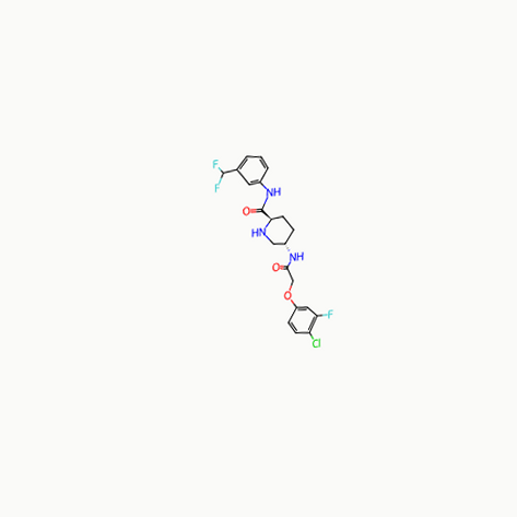 O=C(COc1ccc(Cl)c(F)c1)N[C@H]1CC[C@H](C(=O)Nc2cccc(C(F)F)c2)NC1